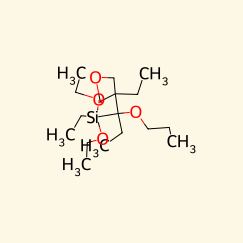 CCCOC(CC)(C1(CC)COC1)[Si](CC)(OCC)OCC